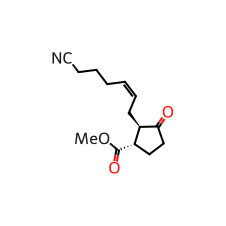 COC(=O)[C@H]1CCC(=O)[C@@H]1C/C=C\CCCC#N